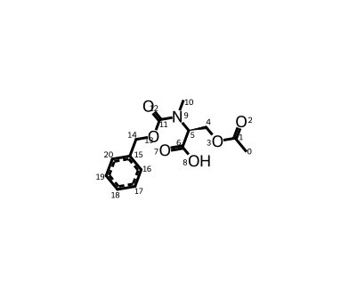 CC(=O)OC[C@@H](C(=O)O)N(C)C(=O)OCc1ccccc1